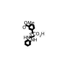 COC(=O)c1cccc(CSC2(CC(=O)O)Nc3ccccc3N2)c1